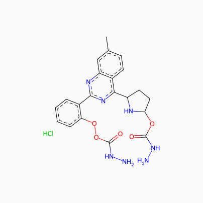 Cc1ccc2c(C3CCC(OC(=O)NN)N3)nc(-c3ccccc3OOC(=O)NN)nc2c1.Cl